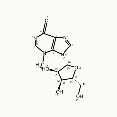 Cn1cnc(=O)c2ncn([C@@H]3O[C@H](CO)[C@@H](O)[C@H]3O)c21